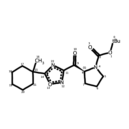 CC(C)(C)OC(=O)N1CCC[C@H]1C(=O)c1noc(C2(C)CCCCC2)n1